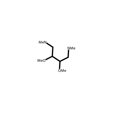 CNCC(OC)C(CNC)OC